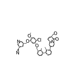 COc1cc(Cl)c(OCc2cccc(-c3cccc(-c4ccn5c(=O)c(C=O)ccc5c4)c3C)c2C)cc1OCc1cncc(C#N)c1